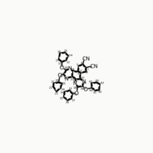 N#Cc1cc2c(cc1C#N)c1nc(Oc3ccccc3)c(Oc3ccccc3)nc1c1nc(Oc3ccccc3)c(Oc3ccccc3)nc21